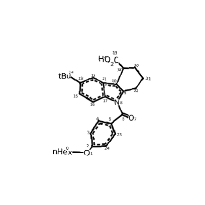 CCCCCCOc1ccc(C(=O)n2c3c(c4cc(C(C)(C)C)ccc42)C(C(=O)O)CCC3)cc1